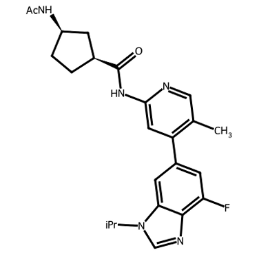 CC(=O)N[C@@H]1CC[C@H](C(=O)Nc2cc(-c3cc(F)c4ncn(C(C)C)c4c3)c(C)cn2)C1